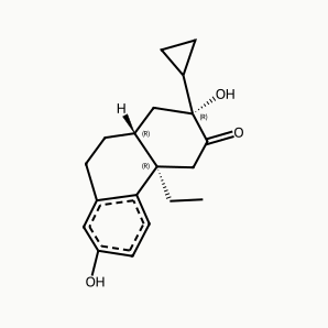 CC[C@@]12CC(=O)[C@](O)(C3CC3)C[C@H]1CCc1cc(O)ccc12